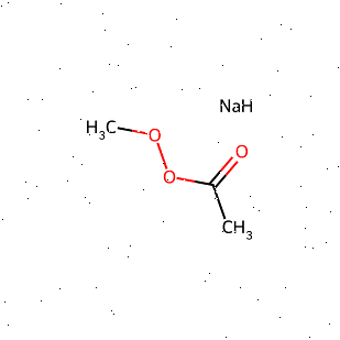 COOC(C)=O.[NaH]